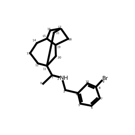 CC(NCc1cccc(Br)c1)C12CCCC3CC(CC3C1)C2